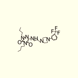 CCCCn1nc(NCCCN2CCN(c3cccc(C(F)(F)F)c3)CC2)c(=O)n(CCCC)c1=O